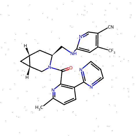 Cc1ccc(-c2ncccn2)c(C(=O)N2C[C@@H]3C[C@@H]3C[C@H]2CNc2cc(C(F)(F)F)c(C#N)cn2)n1